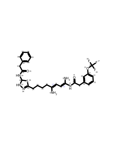 N/C(=C\C=C(/N)NC(=O)Cc1cccc(OC(F)(F)F)c1)CCCCC1=NNC(NC(=O)Cc2ccccc2)S1